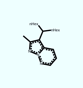 CCCCCCC(CCCCCC)c1c(C)nn2ncccc12